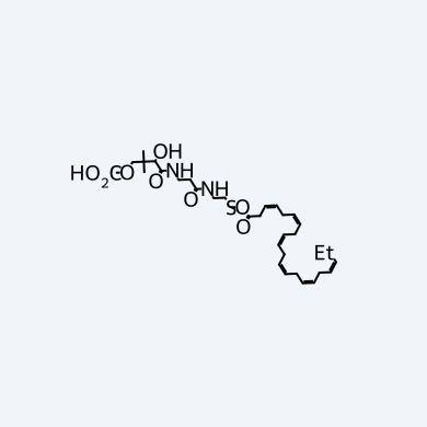 CC/C=C\C/C=C\C/C=C\C/C=C\C/C=C\C/C=C\CC(=O)OSCCNC(=O)CCNC(=O)[C@H](O)C(C)(C)COC(=O)O